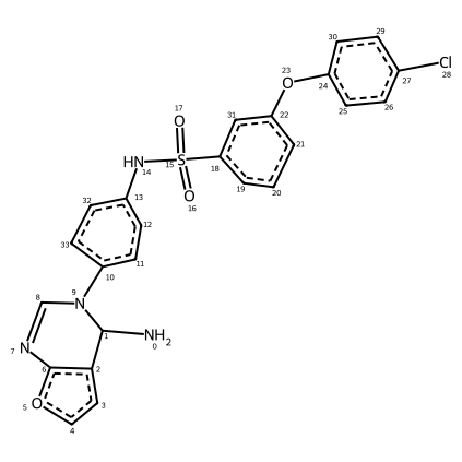 NC1c2ccoc2N=CN1c1ccc(NS(=O)(=O)c2cccc(Oc3ccc(Cl)cc3)c2)cc1